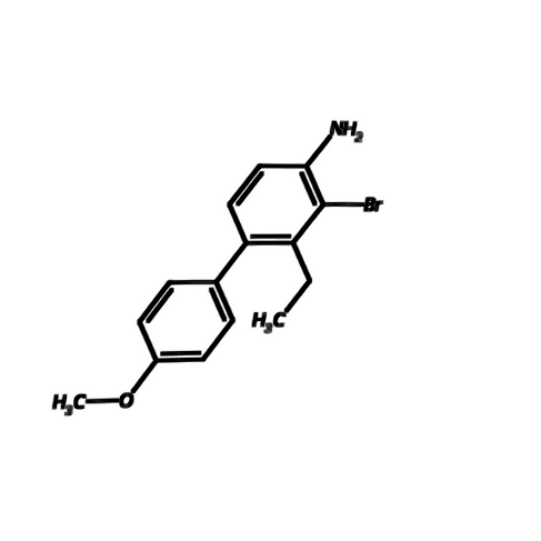 CCc1c(-c2ccc(OC)cc2)ccc(N)c1Br